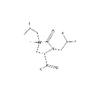 CC(C)C[N+]1(C)CC(C(=O)[O-])N(CC(F)F)C1=O